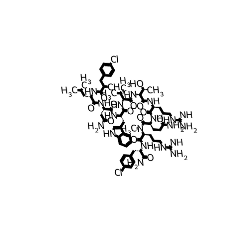 CC(C)C[C@H](NC(=O)C(C)Cc1ccc(Cl)cc1)C(=O)N[C@@H](CC(N)=O)C(=O)N[C@@H](Cc1c[nH]c2ccccc12)C(=O)N[C@H](C(=O)N[C@H](C(=O)N[C@@H](CCCNC(=N)N)C(=O)N[C@@H](CCC(N)=O)C(=O)N(C)[C@@H](CCCNC(=N)N)C(=O)N[C@@H](Cc1ccc(Cl)cc1)C(N)=O)[C@@H](C)O)C(C)C